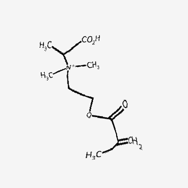 C=C(C)C(=O)OCC[N+](C)(C)C(C)C(=O)O